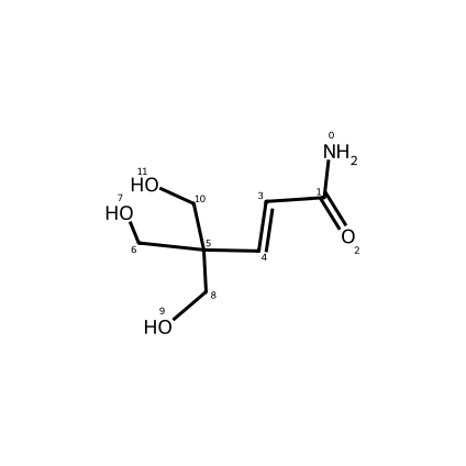 NC(=O)C=CC(CO)(CO)CO